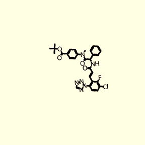 CN(C(=O)C(NC(=O)C=Cc1c(-n2ncnn2)ccc(Cl)c1F)c1ccccc1)c1ccc(C(=O)OC(C)(C)C)cc1